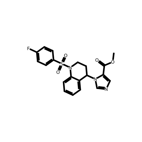 COC(=O)c1cncn1C1CCN(S(=O)(=O)c2ccc(F)cc2)c2ccccc21